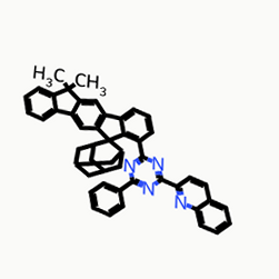 CC1(C)c2ccccc2-c2cc3c(cc21)-c1cccc(-c2nc(-c4ccccc4)nc(-c4ccc5ccccc5n4)n2)c1C31C2CC3CC(C2)CC1C3